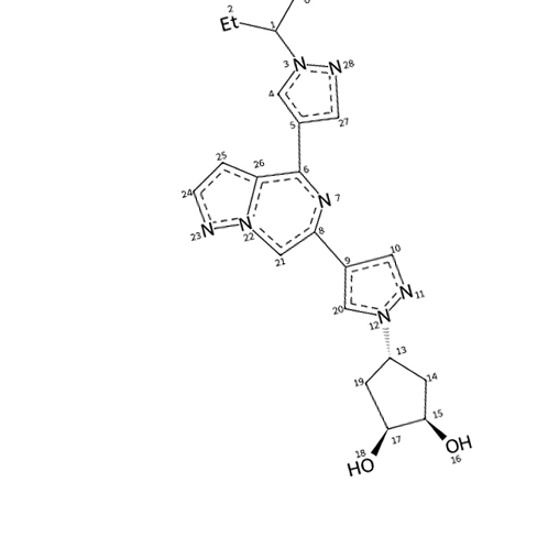 CCC(CC)n1cc(-c2nc(-c3cnn([C@@H]4C[C@@H](O)[C@@H](O)C4)c3)cn3nccc23)cn1